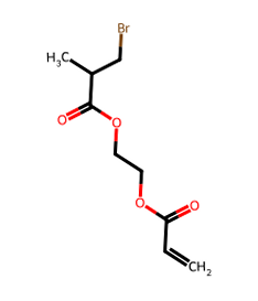 C=CC(=O)OCCOC(=O)C(C)CBr